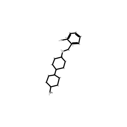 CCCC1CCC(C2CCC(OCc3ccccc3F)CC2)CC1